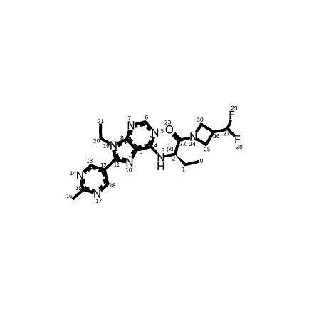 CC[C@@H](Nc1ncnc2c1nc(-c1cnc(C)nc1)n2CC)C(=O)N1CC(C(F)F)C1